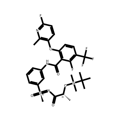 Cc1nc(F)ccc1Oc1ccc(C(F)(F)F)c(F)c1C(=O)Nc1cccc([S@@](C)(=O)=NC(=O)[C@@H](C)O[Si](C)(C)C(C)(C)C)c1